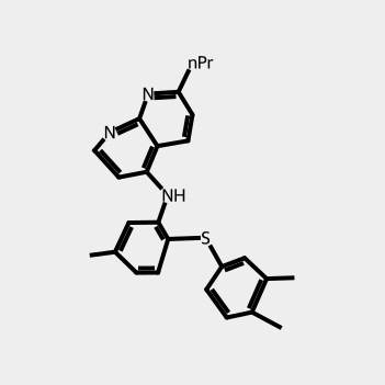 CCCc1ccc2c(Nc3cc(C)ccc3Sc3ccc(C)c(C)c3)ccnc2n1